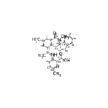 Cc1cc2c(c(C(C)Nc3ccc(C)nc3C(=O)O)c1)CC1(CCc3ccccc31)N(C)C2=O